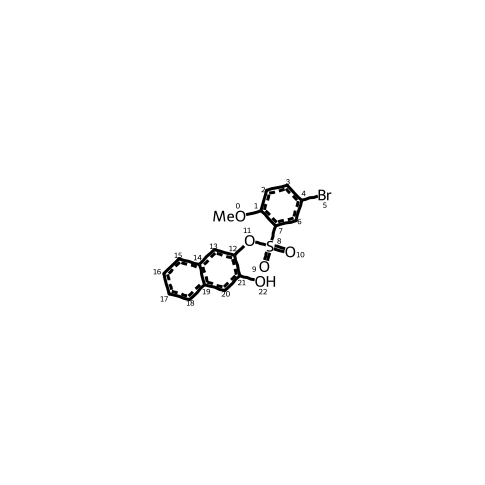 COc1ccc(Br)cc1S(=O)(=O)Oc1cc2ccccc2cc1O